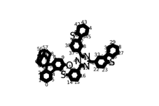 c1ccc2c(c1)-c1c(ccc3c1Sc1cccc(-c4nc(-c5ccc6sc7ccccc7c6c5)nc(-c5ccc6sc7ccccc7c6c5)n4)c1O3)C21C2CC3CC(C2)CC1C3